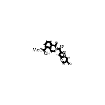 COC(O)c1cccc2c1CCN(C(=O)c1cc3ncc(Br)cn3n1)C2C